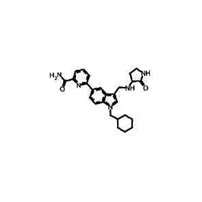 NC(=O)c1cccc(-c2ccc3c(c2)c(CNC2CCNC2=O)cn3CC2CCCCC2)n1